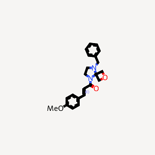 COc1ccc(/C=C/C(=O)N2CCN(Cc3ccccc3)C23COC3)cc1